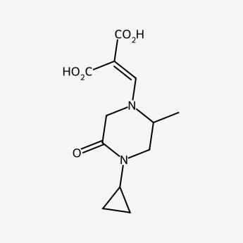 CC1CN(C2CC2)C(=O)CN1C=C(C(=O)O)C(=O)O